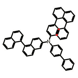 c1ccc(-c2ccc(N(c3ccc(-c4cccc5cccc(-c6ccccc6)c45)cc3)c3ccc4c(-c5cccc6ccccc56)cccc4c3)cc2)cc1